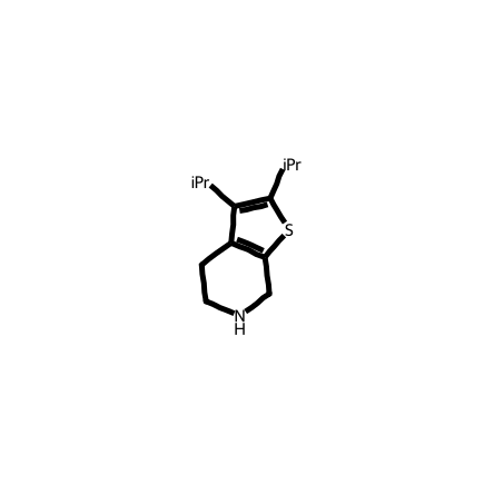 CC(C)c1sc2c(c1C(C)C)CCNC2